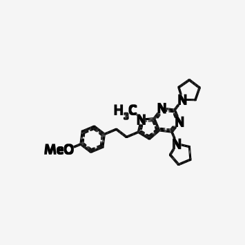 COc1ccc(CCc2cc3c(N4CCCC4)nc(N4CCCC4)nc3n2C)cc1